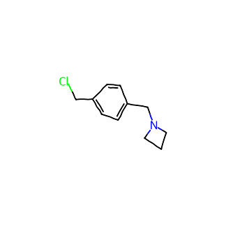 ClCc1ccc(CN2CCC2)cc1